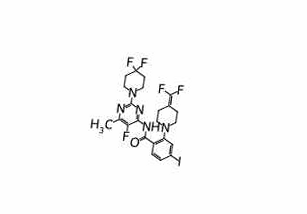 Cc1nc(N2CCC(F)(F)CC2)nc(NC(=O)c2ccc(I)cc2N2CCC(=C(F)F)CC2)c1F